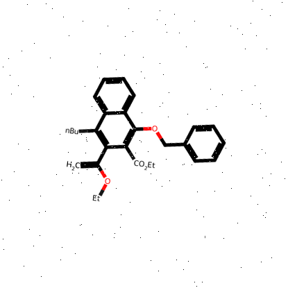 C=C(OCC)c1c(C(=O)OCC)c(OCc2ccccc2)c2ccccc2c1CCCC